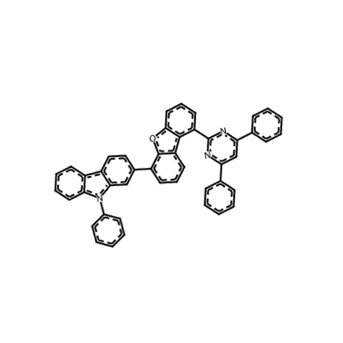 c1ccc(-c2cc(-c3ccccc3)nc(-c3cccc4oc5c(-c6ccc7c8ccccc8n(-c8ccccc8)c7c6)cccc5c34)n2)cc1